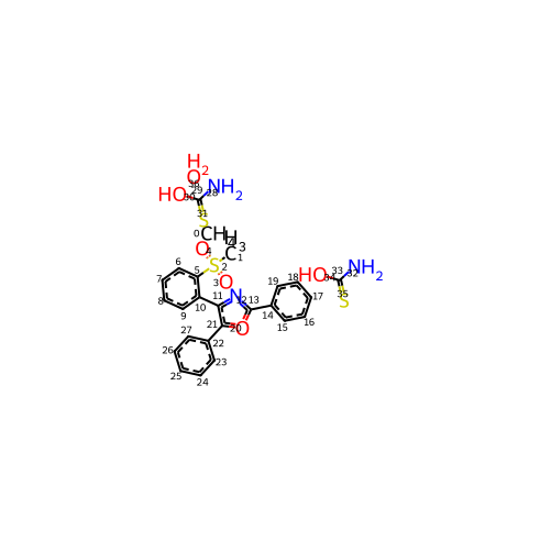 C.CS(=O)(=O)c1ccccc1-c1nc(-c2ccccc2)oc1-c1ccccc1.NC(O)=S.NC(O)=S.O